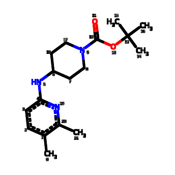 Cc1ccc(NC2CCN(C(=O)OC(C)(C)C)CC2)nc1C